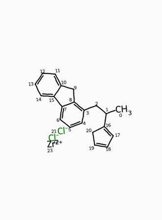 CC(Cc1cccc2c1Cc1ccccc1-2)C1=CC=CC1.[Cl-].[Cl-].[Zr+2]